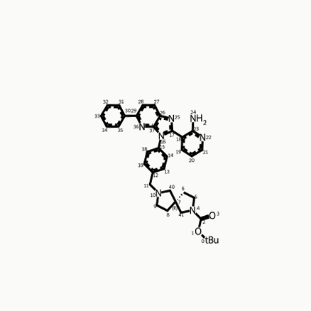 CC(C)(C)OC(=O)N1CC[C@@]2(CCN(Cc3ccc(-n4c(-c5cccnc5N)nc5ccc(-c6ccccc6)nc54)cc3)C2)C1